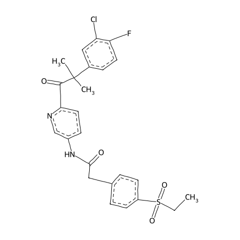 CCS(=O)(=O)c1ccc(CC(=O)Nc2ccc(C(=O)C(C)(C)c3ccc(F)c(Cl)c3)nc2)cc1